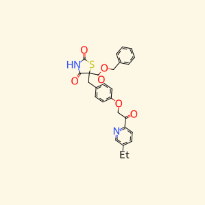 CCc1ccc(C(=O)COc2ccc(CC3(C(=O)OCc4ccccc4)SC(=O)NC3=O)cc2)nc1